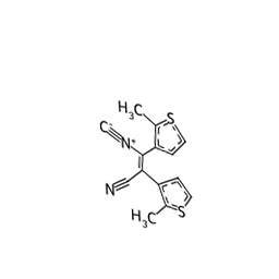 [C-]#[N+]/C(=C(\C#N)c1ccsc1C)c1ccsc1C